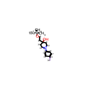 CC(C)(C)[Si](C)(C)OCCC1(O)CCN(c2ccc(I)cc2)CC1